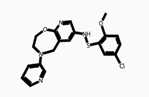 COc1ccc(Cl)cc1SNc1cnc2c(c1)CN(c1cccnc1)CCO2